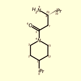 CC(C)C1CCN(C(=O)C[C@H](N)C(C)C)CC1